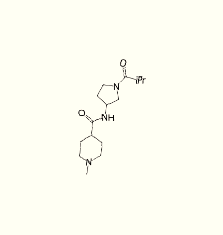 CC(C)C(=O)N1CCC(NC(=O)C2CCN(C)CC2)C1